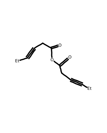 CCC#CCC(=O)OC(=O)CC#CCC